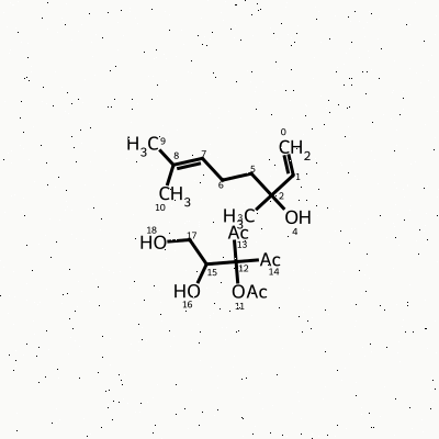 C=CC(C)(O)CCC=C(C)C.CC(=O)OC(C(C)=O)(C(C)=O)C(O)CO